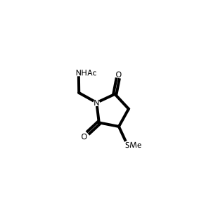 CSC1CC(=O)N(CNC(C)=O)C1=O